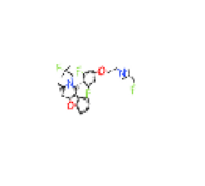 C[C@@H]1Cc2oc3ccccc3c2[C@@H](c2c(F)cc(OCCN3CC(CF)C3)cc2F)N1CC(C)(C)F